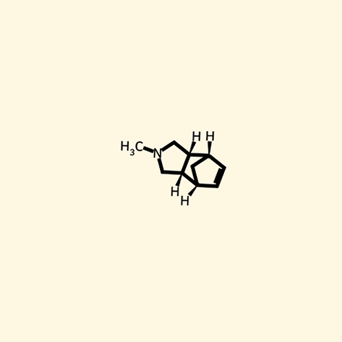 CN1C[C@@H]2[C@H](C1)[C@@H]1C=C[C@H]2C1